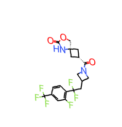 O=C1N[C@]2(CO1)C[C@@H](C(=O)N1CC(CC(F)(F)c3ccc(C(F)(F)F)cc3F)C1)C2